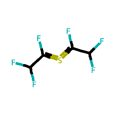 FC(=S=C(F)C(F)F)C(F)F